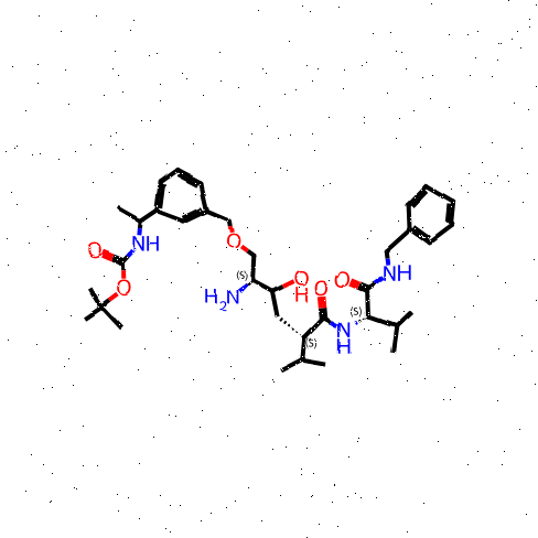 CC(NC(=O)OC(C)(C)C)c1cccc(COC[C@H](N)C(O)C[C@H](C(=O)N[C@H](C(=O)NCc2ccccc2)C(C)C)C(C)C)c1